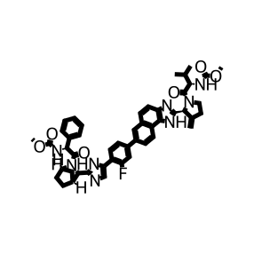 C=C1CCN(C(=O)[C@@H](NC(=O)OC)C(C)C)[C@@H]1c1nc2ccc3cc(-c4ccc(-c5cnc(C6[C@H]7CC[C@H](C7)N6C(=O)[C@H](NC(=O)OC)c6ccccc6)[nH]5)c(F)c4)ccc3c2[nH]1